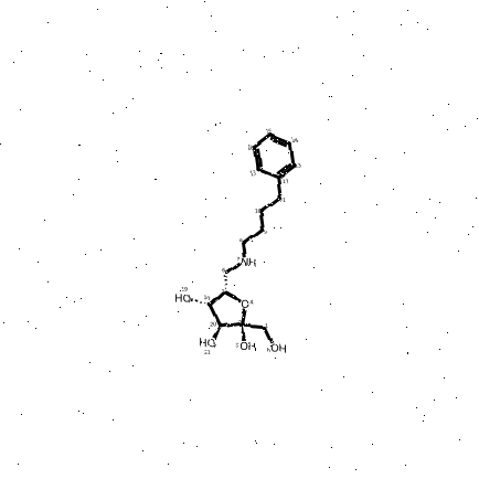 OC[C@@]1(O)O[C@@H](CNCCCCc2ccccc2)[C@@H](O)[C@@H]1O